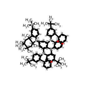 CC(C)(C)c1ccc2c(c1)B1c3ccccc3N(c3ccc(C(C)(C)C)cc3-c3ccccc3)c3cc(N4c5ccc([Si](C)(C)C)cc5C5(C)CC(C)(C)C(C)(C)CC45C)cc(c31)N2c1ccc(C(C)(C)C)cc1-c1ccccc1